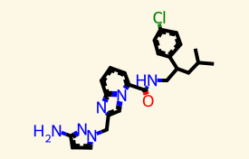 CC(C)CC(CNC(=O)c1cccc2nc(Cn3ccc(N)n3)cn12)c1ccc(Cl)cc1